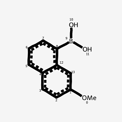 COc1ccc2cccc(B(O)O)c2c1